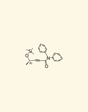 C[C@H](C#CC(=O)N(c1ccccc1)c1ccccc1)O[Si](C)(C)C